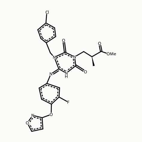 COC(=O)[C@@H](C)Cn1c(=O)[nH]/c(=N\c2ccc(Oc3ccon3)c(F)c2)n(Cc2ccc(Cl)cc2)c1=O